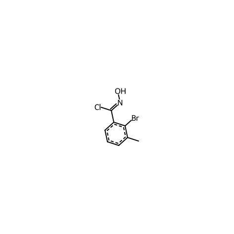 Cc1cccc(C(Cl)=NO)c1Br